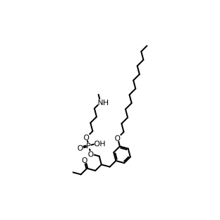 CCCCCCCCCCCCCOc1cccc(CC(COP(=O)(O)OCCCCNC)CC(=O)CC)c1